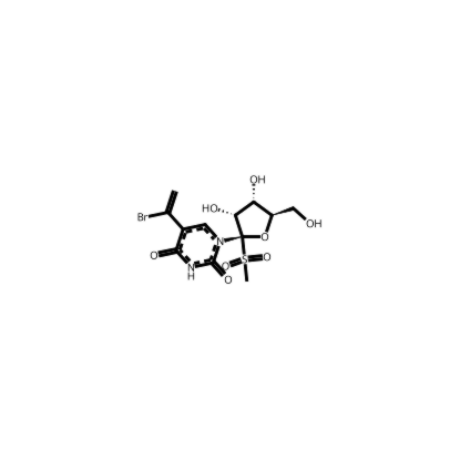 C=C(Br)c1cn([C@]2(S(C)(=O)=O)O[C@H](CO)[C@@H](O)[C@H]2O)c(=O)[nH]c1=O